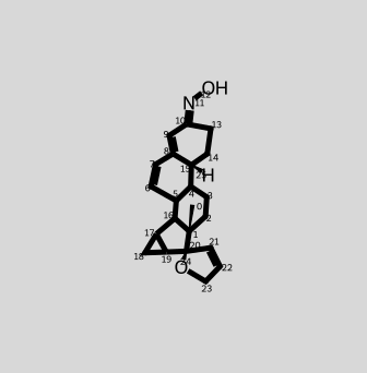 C[C@]12CCC3C(C=CC4=CC(=NO)CC[C@@H]43)C1C1CC1[C@@]21C=CCO1